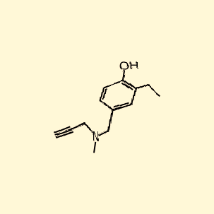 C#CCN(C)Cc1ccc(O)c(CC)c1